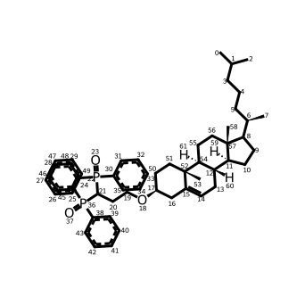 CC(C)CCC[C@@H](C)C1CC[C@H]2[C@@H]3CC=C4C[C@@H](OCCC(P(=O)(c5ccccc5)c5ccccc5)P(=O)(c5ccccc5)c5ccccc5)CC[C@]4(C)[C@H]3CC[C@]12C